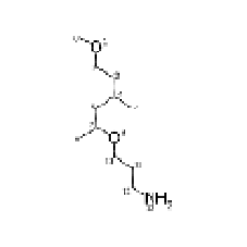 COCCC(C)CC(C)OCCCN